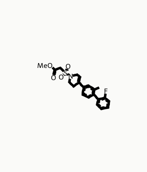 COC(=O)CS(=O)(=O)N1CC=C(c2ccc(-c3ccccc3F)c(C)c2)CC1